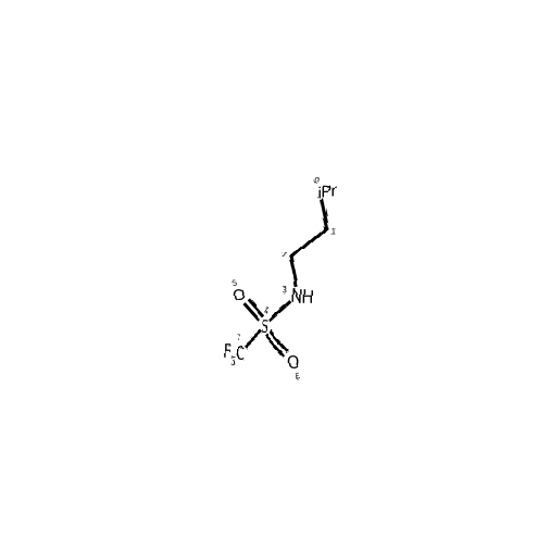 CC(C)CCNS(=O)(=O)C(F)(F)F